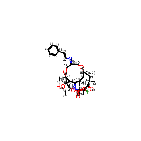 CC[C@H]1OC(=O)[C@@](C)(F)C(=O)[C@H](C)[C@@H](C)[C@@]2(C)C[C@@H](C)/C(=N\C(C)=O)[C@H](C)[C@@H](OC/C(=N\C=C\c3ccccc3)CO2)[C@]1(C)O